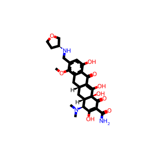 COc1c(CN[C@@H]2CCOC2)cc(O)c2c1C[C@H]1C[C@H]3[C@H](N(C)C)C(O)=C(C(N)=O)C(=O)[C@@]3(O)C(O)=C1C2=O